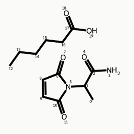 CC(C(N)=O)N1C(=O)C=CC1=O.CCCCCC(=O)O